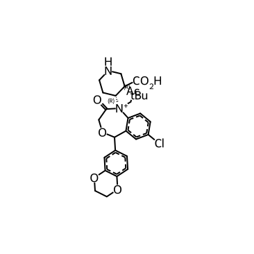 CC(=O)[C@@]1(C(=O)O)CNCC[C@H]1[N+]1(CC(C)(C)C)C(=O)COC(c2ccc3c(c2)OCCO3)c2cc(Cl)ccc21